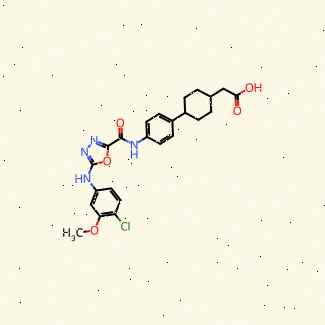 COc1cc(Nc2nnc(C(=O)Nc3ccc(C4CCC(CC(=O)O)CC4)cc3)o2)ccc1Cl